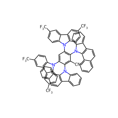 N#Cc1c(-n2c3ccccc3c3ccc4ccccc4c32)c(-n2c3ccc(C(F)(F)F)cc3c3cc(C(F)(F)F)ccc32)cc(-n2c3ccc(C(F)(F)F)cc3c3cc(C(F)(F)F)ccc32)c1-n1c2ccccc2c2ccc3ccccc3c21